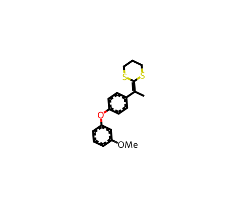 COc1cccc(Oc2ccc(C(C)=C3SCCCS3)cc2)c1